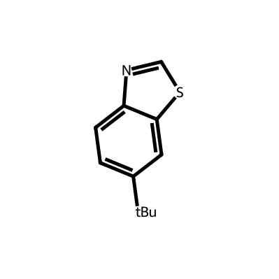 CC(C)(C)c1ccc2ncsc2c1